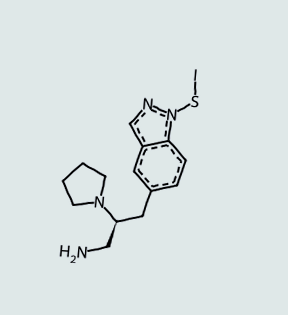 NC[C@H](Cc1ccc2c(cnn2SI)c1)N1CCCC1